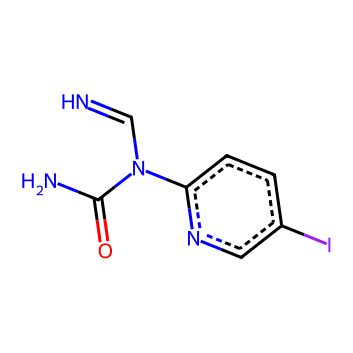 N=CN(C(N)=O)c1ccc(I)cn1